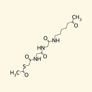 CC(=O)CCCCCNC(=O)CNC(=O)CNC(=O)CSC(C)=O